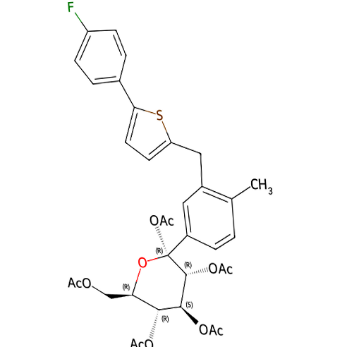 CC(=O)OC[C@H]1O[C@@](OC(C)=O)(c2ccc(C)c(Cc3ccc(-c4ccc(F)cc4)s3)c2)[C@H](OC(C)=O)[C@@H](OC(C)=O)[C@@H]1OC(C)=O